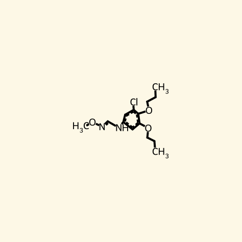 CCCOc1cc(NC=NOC)cc(Cl)c1OCCC